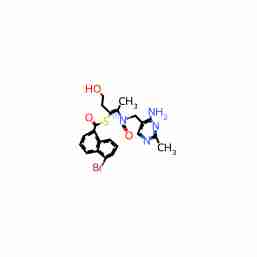 C/C(=C(\CCO)SC(=O)c1cccc2c(Br)cccc12)N(C=O)Cc1cnc(C)nc1N